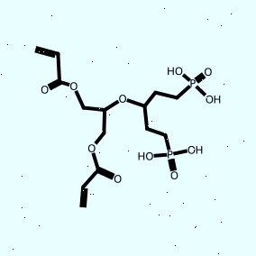 C=CC(=O)OCC(COC(=O)C=C)OC(CCP(=O)(O)O)CCP(=O)(O)O